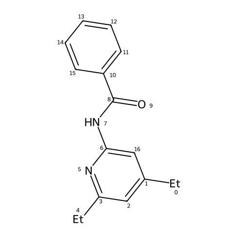 CCc1cc(CC)nc(NC(=O)c2ccccc2)c1